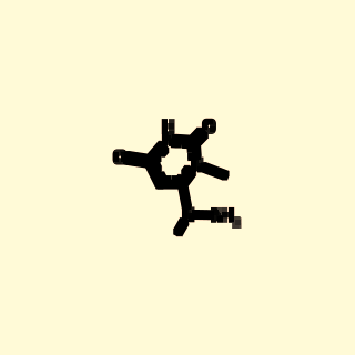 CN(N)c1cc(=O)[nH]c(=O)n1C